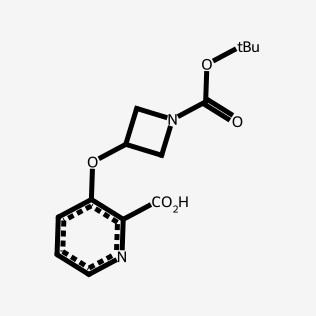 CC(C)(C)OC(=O)N1CC(Oc2cccnc2C(=O)O)C1